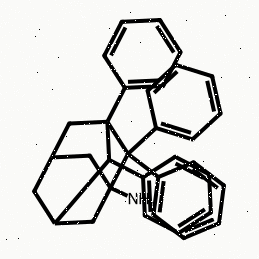 NC12CC3CC(C1)C(c1ccccc1)C(c1ccccc1)(C3)C2(c1ccccc1)c1ccccc1